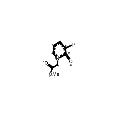 COC(=O)Cn1cccc(I)c1=O